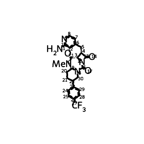 CNC(=O)[C@@H]1[C@@H](Cc2ccnc(N)c2)C(=O)N1C(=O)N1CCCC(c2ccc(C(F)(F)F)cc2)C1